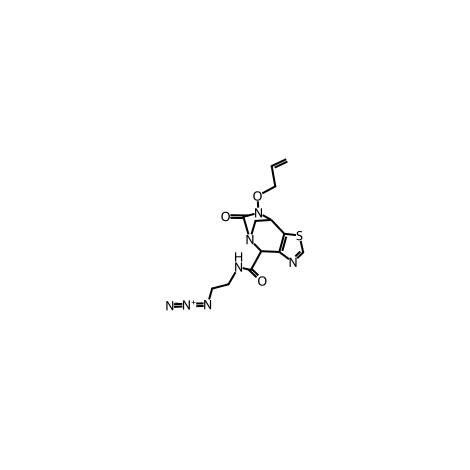 C=CCON1C(=O)N2CC1c1scnc1C2C(=O)NCCN=[N+]=[N-]